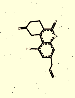 C=CCc1cc(O)c2c3c(c(=O)oc2c1)CCC(=O)C3